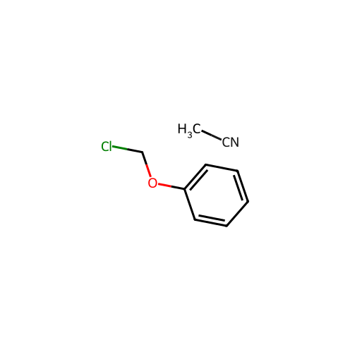 CC#N.ClCOc1ccccc1